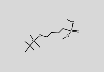 COP(=O)(CCCCO[Si](C)(C)C(C)(C)C)OC